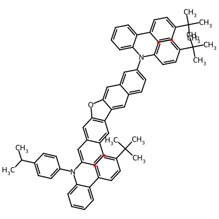 CC(C)c1ccc(N(c2ccc3cc4c(cc3c2)oc2cc3cc(N(c5ccc(C(C)(C)C)cc5)c5ccccc5-c5ccc(C(C)(C)C)cc5)ccc3cc24)c2ccccc2-c2ccc(C(C)(C)C)cc2)cc1